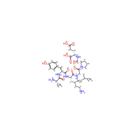 CC(C)C[C@H](NC(=O)[C@H](CCCCN)NC(=O)[C@H](Cc1ccc(O)cc1)NC(=O)[C@H](C)N)C(=O)N1CCC[C@H]1C(=O)N[C@@H](CCC(=O)O)C(=O)O